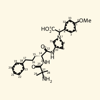 COc1ccc(C(C(=O)O)n2ccc(NC(=O)[C@@H](CCCc3ccccc3)NC(=O)C(C)(C)N)c2)cc1